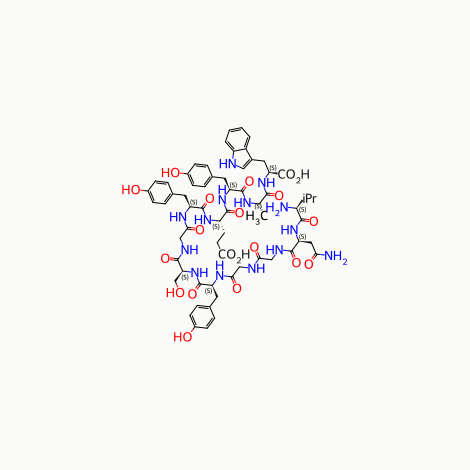 CC(C)[C@H](N)C(=O)N[C@@H](CC(N)=O)C(=O)NCC(=O)NCC(=O)N[C@@H](Cc1ccc(O)cc1)C(=O)N[C@@H](CO)C(=O)NCC(=O)N[C@@H](Cc1ccc(O)cc1)C(=O)N[C@@H](CCC(=O)O)C(=O)N[C@@H](Cc1ccc(O)cc1)C(=O)N[C@@H](C)C(=O)N[C@@H](Cc1c[nH]c2ccccc12)C(=O)O